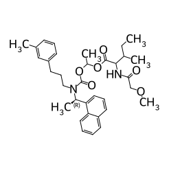 CCC(C)C(NC(=O)COC)C(=O)OC(C)OC(=O)N(CCCc1cccc(C)c1)[C@H](C)c1cccc2ccccc12